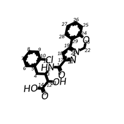 O=C(NC(Cc1ccccc1Cl)C(O)C(=O)O)c1cc2n(n1)COc1ccccc1-2